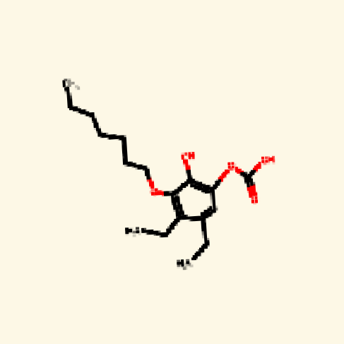 CCCCCCCOc1c(O)c(OC(=O)O)cc(CC)c1CC